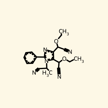 CCOC(C#N)c1nc(-c2ccccc2)n(C(C)C#N)c1C(C#N)OCC